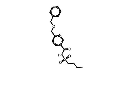 CCCCS(=O)(=O)NC(=O)c1ccc(COCc2ccccc2)nc1